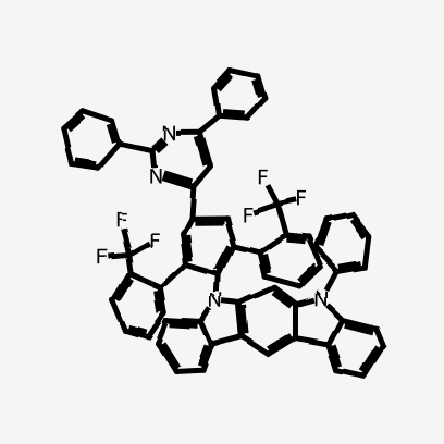 FC(F)(F)c1ccccc1-c1cc(-c2cc(-c3ccccc3)nc(-c3ccccc3)n2)cc(-c2ccccc2C(F)(F)F)c1-n1c2ccccc2c2cc3c4ccccc4n(-c4ccccc4)c3cc21